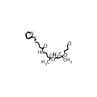 CC(C)(CCNC(=O)CCSSc1ccccn1)OCCC(C)(C)OCCC=O